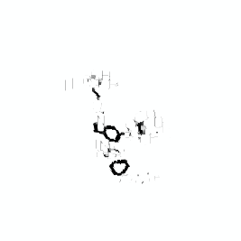 COc1ccc(S(=O)(=O)Nc2cc(B3OC(C)(C)C(C)(C)O3)cc3c2ccn3COCC[Si](C)(C)C)cc1